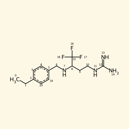 CCc1ccc(CNC(CCNC(=N)N)C(F)(F)F)cc1